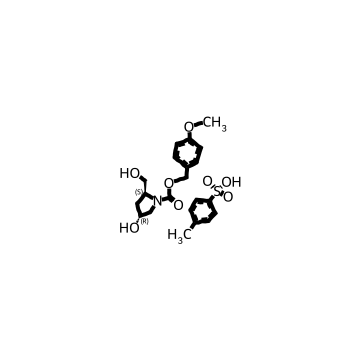 COc1ccc(COC(=O)N2C[C@H](O)C[C@H]2CO)cc1.Cc1ccc(S(=O)(=O)O)cc1